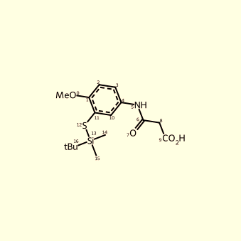 COc1ccc(NC(=O)CC(=O)O)cc1S[Si](C)(C)C(C)(C)C